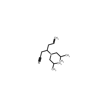 C=CCC(CC#N)N(CC(C)C)CC(C)C